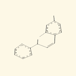 Fc1ccc2c(c1)OC(c1ccccc1)C=C2